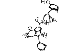 O=C(NCC(O)c1cccc(O)c1)c1cc2c3c(c(-c4ccccc4)[nH]c3c1)C=NNC2=O